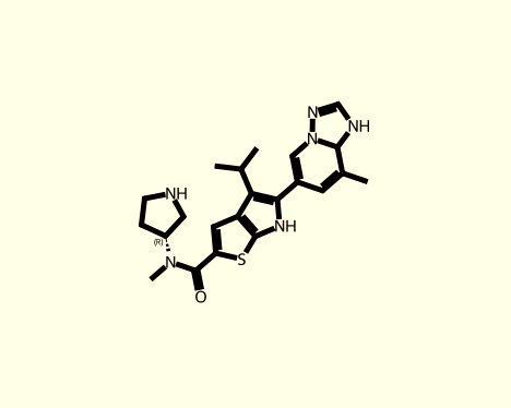 CC1=CC(c2[nH]c3sc(C(=O)N(C)[C@@H]4CCNC4)cc3c2C(C)C)=CN2N=CNC12